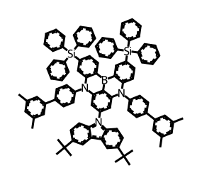 Cc1cc(C)cc(-c2ccc(N3c4ccc([Si](c5ccccc5)(c5ccccc5)c5ccccc5)cc4B4c5ccc([Si](c6ccccc6)(c6ccccc6)c6ccccc6)cc5N(c5ccc(-c6cc(C)cc(C)c6)cc5)c5cc(-n6c7ccc(C(C)(C)C)cc7c7cc(C(C)(C)C)ccc76)cc3c54)cc2)c1